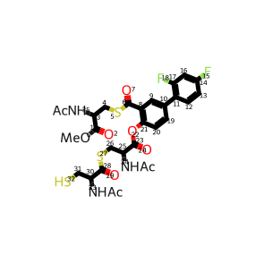 COC(=O)C(CSC(=O)c1cc(-c2ccc(F)cc2F)ccc1OC(=O)C(CSC(=O)C(CS)NC(C)=O)NC(C)=O)NC(C)=O